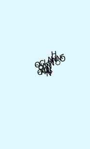 C=CC(=O)NC1CCCCC1Nc1ncc2c(n1)N(Cc1ccn[nH]1)C(=O)N(c1c(Cl)c(OC)cc(OC)c1Cl)C2